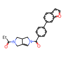 CCC(=O)N1CC2=CN(C(=O)c3ccc(-c4ccc5ccoc5c4)cc3)CC2C1